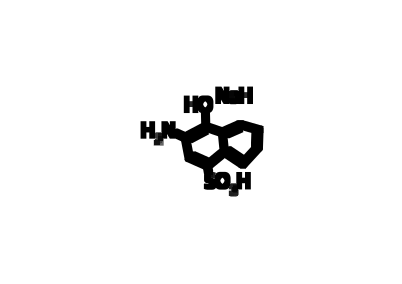 Nc1cc(S(=O)(=O)O)c2ccccc2c1O.[NaH]